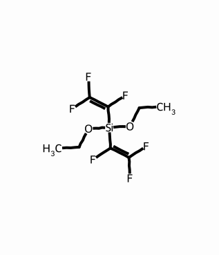 CCO[Si](OCC)(C(F)=C(F)F)C(F)=C(F)F